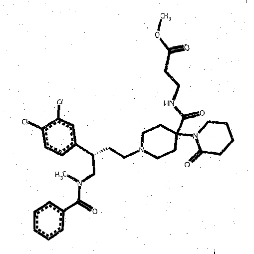 COC(=O)CCNC(=O)C1(N2CCCCC2=O)CCN(CC[C@H](CN(C)C(=O)c2ccccc2)c2ccc(Cl)c(Cl)c2)CC1